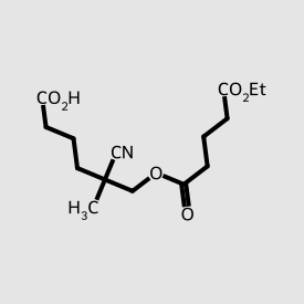 CCOC(=O)CCCC(=O)OCC(C)(C#N)CCCC(=O)O